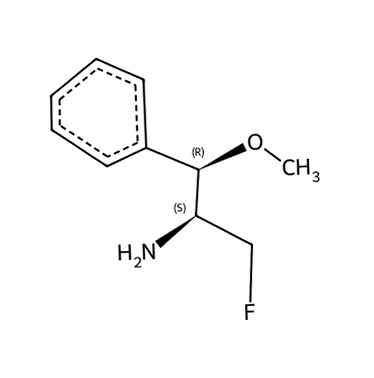 CO[C@H](c1ccccc1)[C@H](N)CF